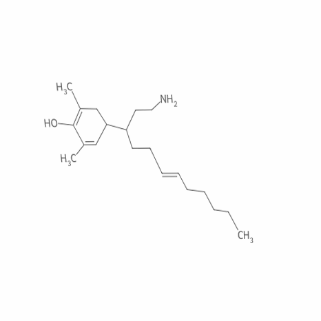 CCCCC/C=C/CCC(CCN)C1C=C(C)C(O)=C(C)C1